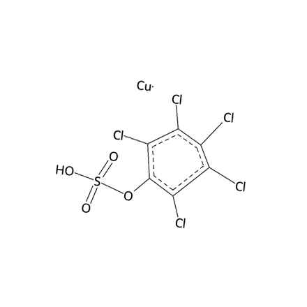 O=S(=O)(O)Oc1c(Cl)c(Cl)c(Cl)c(Cl)c1Cl.[Cu]